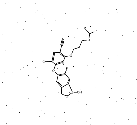 CC(C)OCCCOc1nc(Oc2cc3c(cc2F)B(O)OC3)c(Cl)cc1C#N